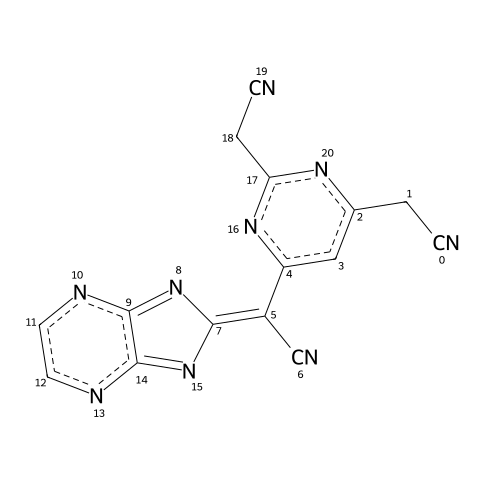 N#CCc1cc(C(C#N)=C2N=c3nccnc3=N2)nc(CC#N)n1